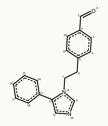 O=[C]c1ccc(CCn2cncc2-c2ccccc2)cc1